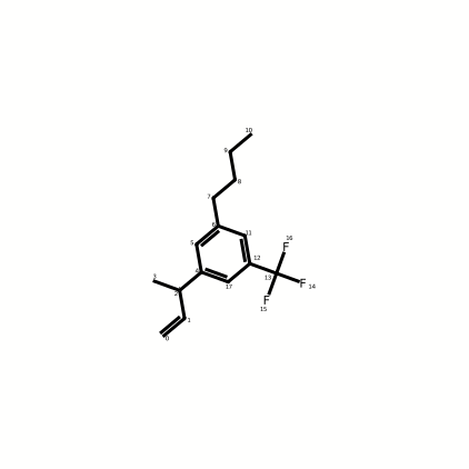 C=C[C](C)c1cc(CCCC)cc(C(F)(F)F)c1